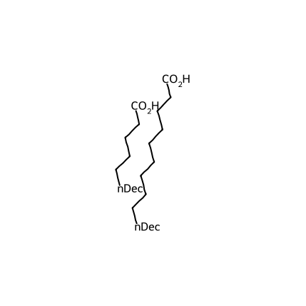 CCCCCCCCCCCCCCC(=O)O.CCCCCCCCCCCCCCCCCCC(=O)O